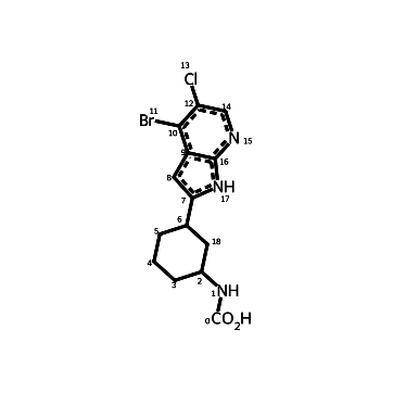 O=C(O)NC1CCCC(c2cc3c(Br)c(Cl)cnc3[nH]2)C1